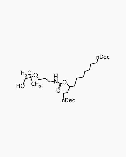 CCCCCCCCCCCCCCCCCC(CCCCCCCCCCCC)OC(=O)NCCCOC(C)(C)CO